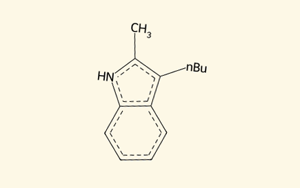 CCCCc1c(C)[nH]c2ccccc12